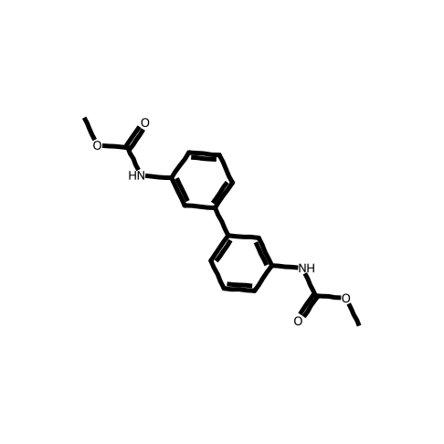 COC(=O)Nc1cccc(-c2cccc(NC(=O)OC)c2)c1